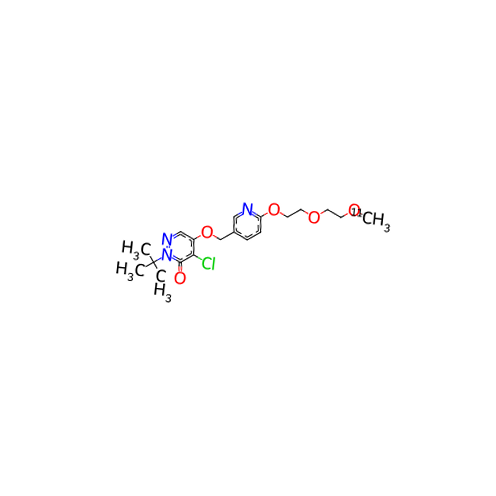 CC(C)(C)n1ncc(OCc2ccc(OCCOCCO[11CH3])nc2)c(Cl)c1=O